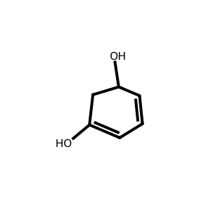 O[C]1C=CC=C(O)C1